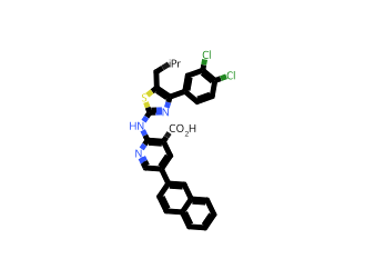 CC(C)Cc1sc(Nc2ncc(-c3ccc4ccccc4c3)cc2C(=O)O)nc1-c1ccc(Cl)c(Cl)c1